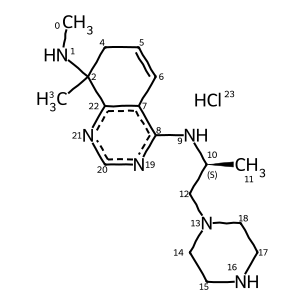 CNC1(C)CC=Cc2c(N[C@@H](C)CN3CCNCC3)ncnc21.Cl